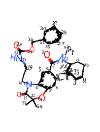 CC(C)N(C(=O)c1cc2c(cc1C(F)(F)F)OC(C)(C)C(=O)N2CCNC(=O)OCc1ccccc1)C1CCCCC1